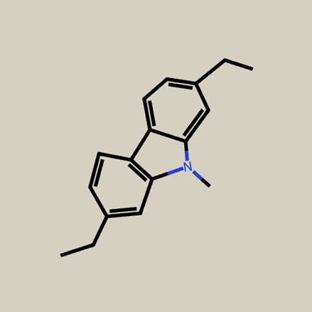 CCc1ccc2c3ccc(CC)cc3n(C)c2c1